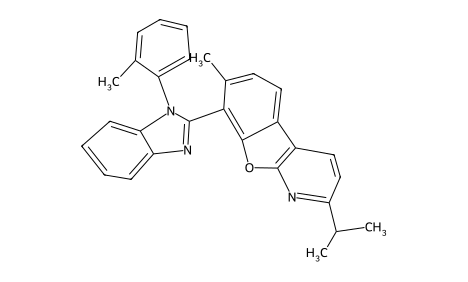 Cc1ccccc1-n1c(-c2c(C)ccc3c2oc2nc(C(C)C)ccc23)nc2ccccc21